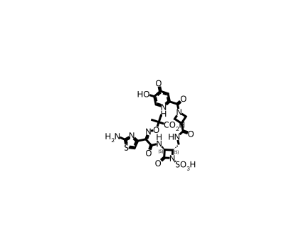 CC(C)(ON=C(C(=O)N[C@@H]1C(=O)N(S(=O)(=O)O)[C@H]1CNC(=O)C1CN(C(=O)c2cc(=O)c(O)c[nH]2)C1)c1csc(N)n1)C(=O)O